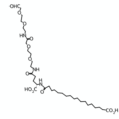 O=[C]COCCOCCNC(=O)COCCOCCNC(=O)CC[C@H](NC(=O)CCCCCCCCCCCCCCCCC(=O)O)C(=O)O